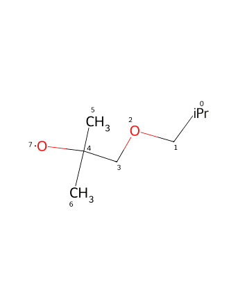 CC(C)COCC(C)(C)[O]